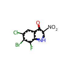 O=c1c([N+](=O)[O-])c[nH]c2c(F)c(Br)c(Cl)cc12